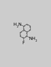 Nc1cccc2c(N)c(F)ccc12